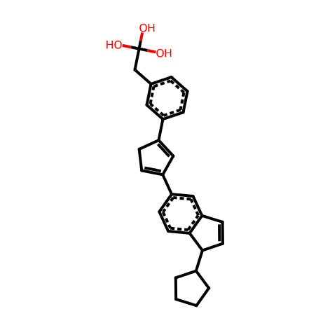 OC(O)(O)Cc1cccc(C2=CC(c3ccc4c(c3)C=CC4C3CCCC3)=CC2)c1